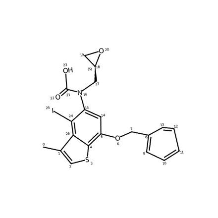 Cc1csc2c(OCc3ccccc3)cc(N(C[C@H]3CO3)C(=O)O)c(I)c12